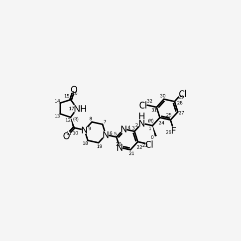 C[C@@H](Nc1nc(N2CCN(C(=O)[C@H]3CCC(=O)N3)CC2)ncc1Cl)c1c(F)cc(Cl)cc1Cl